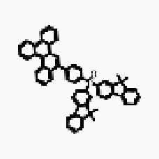 CC1(C)c2ccccc2-c2ccc(P(=O)(c3ccc(-c4cc5c6ccccc6c6ccccc6c5c5ccccc45)cc3)c3ccc4c(c3)C(C)(C)c3ccccc3-4)cc21